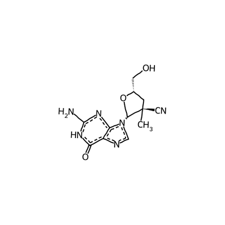 C[C@@]1(C#N)C[C@@H](CO)O[C@H]1n1cnc2c(=O)[nH]c(N)nc21